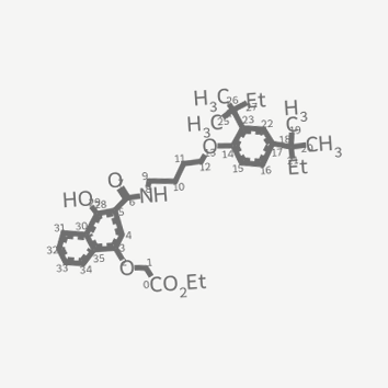 CCOC(=O)COc1cc(C(=O)NCCCCOc2ccc(C(C)(C)CC)cc2C(C)(C)CC)c(O)c2ccccc12